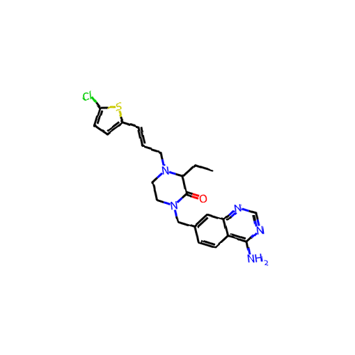 CCC1C(=O)N(Cc2ccc3c(N)ncnc3c2)CCN1C/C=C/c1ccc(Cl)s1